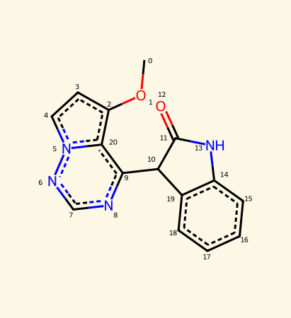 COc1ccn2ncnc(C3C(=O)Nc4ccccc43)c12